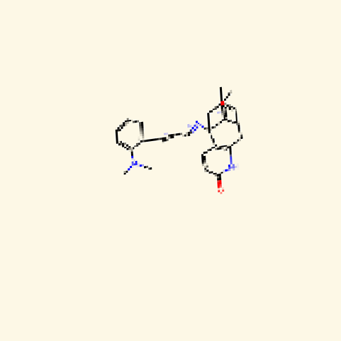 C/C=C1\C2C=C(C)CC1(/N=C/C=C/c1ccccc1N(C)C)c1ccc(=O)[nH]c1C2